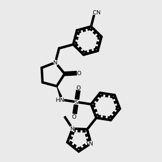 Cn1ccnc1-c1ccccc1S(=O)(=O)N[C@H]1CCN(Cc2cccc(C#N)c2)C1=O